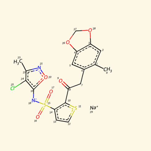 Cc1cc2c(cc1CC(=O)c1sccc1S(=O)(=O)[N-]c1onc(C)c1Cl)OCO2.[Na+]